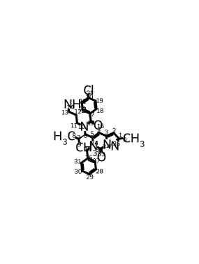 Cc1cc2cc([C@@H](C(C)C)N(CCCN)C(=O)c3ccc(Cl)cc3)n(Cc3ccccc3)c(=O)n2n1